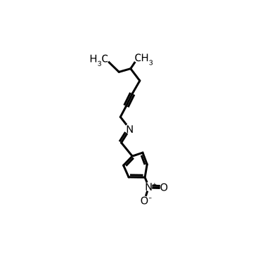 CCC(C)CC#CC/N=C/c1ccc([N+](=O)[O-])cc1